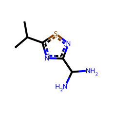 CC(C)c1nc(C(N)N)ns1